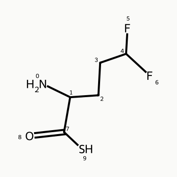 NC(CCC(F)F)C(=O)S